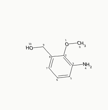 COc1c(N)cccc1CO